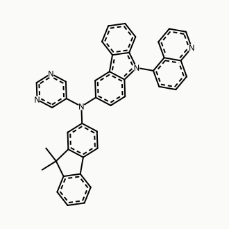 CC1(C)c2ccccc2-c2ccc(N(c3cncnc3)c3ccc4c(c3)c3ccccc3n4-c3cccc4ncccc34)cc21